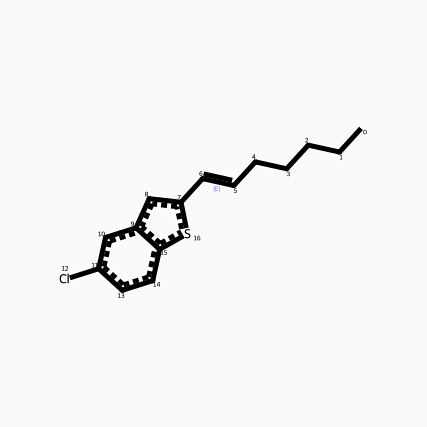 CCCCC/C=C/c1cc2cc(Cl)ccc2s1